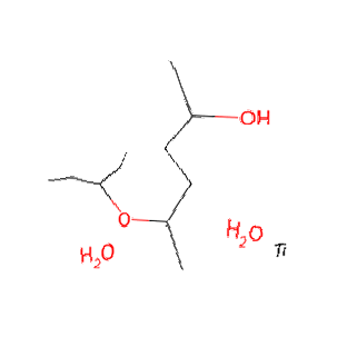 C[C](CCC(C)O)OC(C)C.O.O.[Ti]